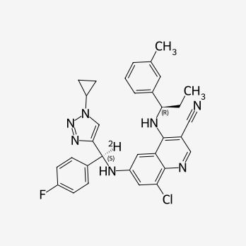 [2H][C@](Nc1cc(Cl)c2ncc(C#N)c(N[C@H](CC)c3cccc(C)c3)c2c1)(c1ccc(F)cc1)c1cn(C2CC2)nn1